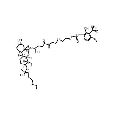 CCCCCC[C@](C)(O)[C@H]1CC[C@H]2[C@@H]3C[C@H](OC(O)CCC(=O)NCCOCCOCC(=O)Nc4ccc(OC)c(C(N)=O)c4O)[C@H]4C[C@@H](O)CC[C@]4(C)[C@H]3CC[C@@]21C